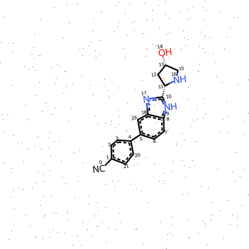 N#Cc1ccc(-c2ccc3[nH]c([C@@H]4C[C@H](O)CN4)nc3c2)cc1